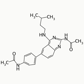 CC(=O)Nc1ccc(-c2ccc3nc(NC(C)=O)nc(NCCC(C)C)c3c2)cc1